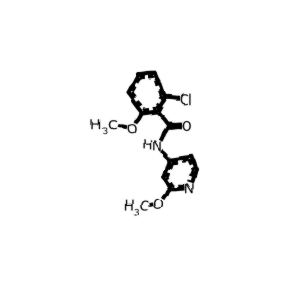 COc1cc(NC(=O)c2c(Cl)cccc2OC)ccn1